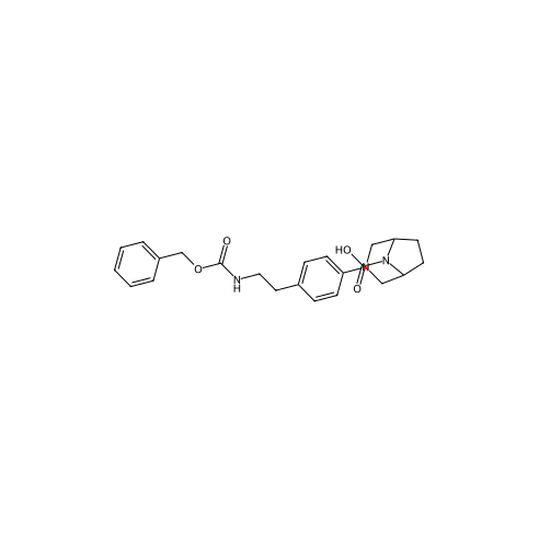 O=C(NCCc1ccc(N2CC3CCC(C2)N3C(=O)O)cc1)OCc1ccccc1